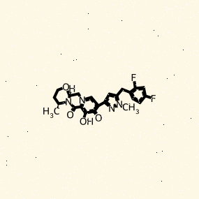 C[C@@H]1CCO[C@H]2Cn3cc(-c4cc(Cc5ccc(F)cc5F)n(C)n4)c(=O)c(O)c3C(=O)N12